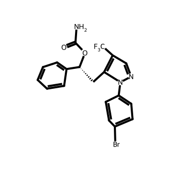 NC(=O)O[C@H](Cc1c(C(F)(F)F)cnn1-c1ccc(Br)cc1)c1ccccc1